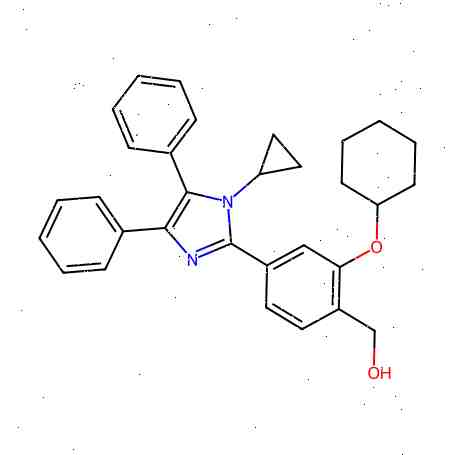 OCc1ccc(-c2nc(-c3ccccc3)c(-c3ccccc3)n2C2CC2)cc1OC1CCCCC1